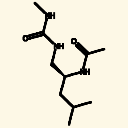 CNC(=O)NC[C@H](CC(C)C)NC(C)=O